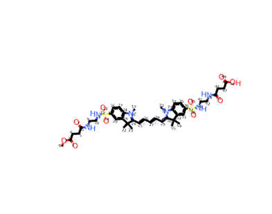 COC(=O)CCC(=O)NCCNS(=O)(=O)c1ccc2c(c1)C(C)(C)C(/C=C/C=C/C=C1\N(C)c3ccc(S(=O)(=O)NCCNC(=O)CCC(=O)O)cc3C1(C)C)=[N+]2C